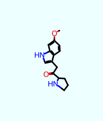 COc1ccc2c(CC(=O)C3CCCN3)c[nH]c2c1